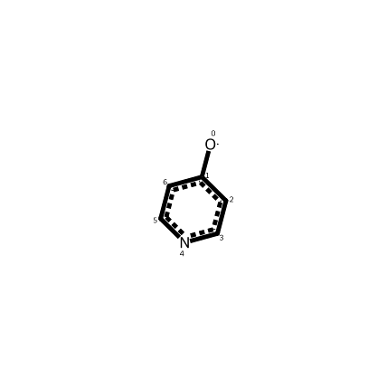 [O]c1ccncc1